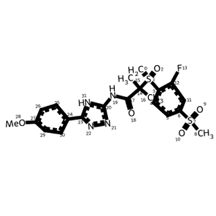 C=S(=O)(c1ccc(S(C)(=O)=O)cc1F)C(C)(C)C(=O)Nc1nnc(-c2ccc(OC)cc2)[nH]1